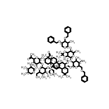 CCC1O[C@@H](OC2[C@H](O[C@H]3CCC4(C)C5CC=C6C7CC(C)(C)CC[C@]7(CO[C@@H]7OC(COCc8ccccc8)[C@H](N)C(C)C7O[C@@H]7OC(C)[C@H](O[C@@H]8OC[C@@H](OCc9ccccc9)C(OCc9ccccc9)C8C)C8OC(C)(C)OC87)C(OC)C[C@@]6(C)[C@@]5(C)CC[C@H]4[C@@]3(C)C=O)OC(C(C)=O)[C@@H](C)[C@@H]2O[C@@H]2OC[C@@H](C)[C@@H](C)C2C)C(O[Si](CC)(CC)CC)[C@@H](C)[C@@H]1C